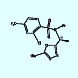 CC(C)N([C@@H](C)c1nnc(C(C)(C)C)o1)S(=O)(=O)c1ccc(C(F)(F)F)cc1Cl